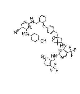 COC1(Cc2ccc(Oc3ccccc3CNc3ncc(C#N)c(N[C@H]4CC[C@@H](O)CC4)n3)cc2)CC(Nc2nc(NCc3c[n+]([O-])ccc3C(F)(F)F)ncc2C(F)(F)F)C1(C)C